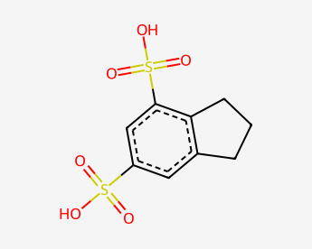 O=S(=O)(O)c1cc2c(c(S(=O)(=O)O)c1)CCC2